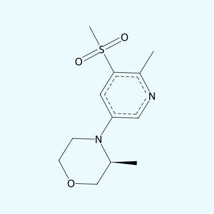 Cc1ncc(N2CCOC[C@@H]2C)cc1S(C)(=O)=O